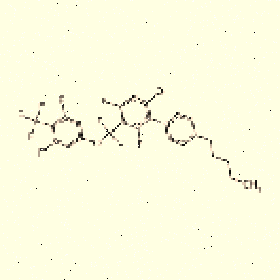 CCCCCc1ccc(-c2c([O])cc(F)c(C(F)(F)Oc3cc(F)c(C(F)(F)F)c(F)c3)c2F)cc1